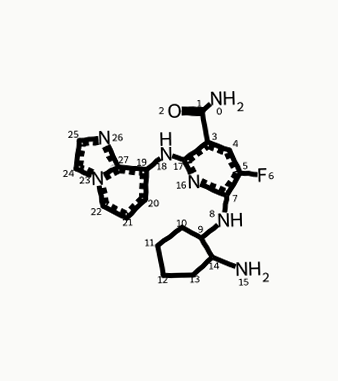 NC(=O)c1cc(F)c(NC2CCCCC2N)nc1Nc1cccn2ccnc12